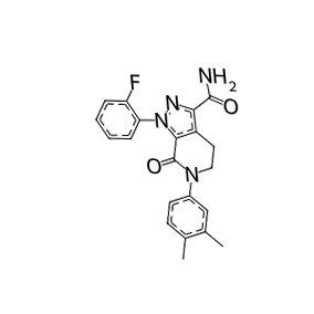 Cc1ccc(N2CCc3c(C(N)=O)nn(-c4ccccc4F)c3C2=O)cc1C